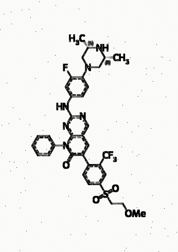 COCCS(=O)(=O)c1ccc(-c2cc3cnc(Nc4ccc(N5C[C@@H](C)N[C@@H](C)C5)c(F)c4)nc3n(-c3ccccc3)c2=O)c(C(F)(F)F)c1